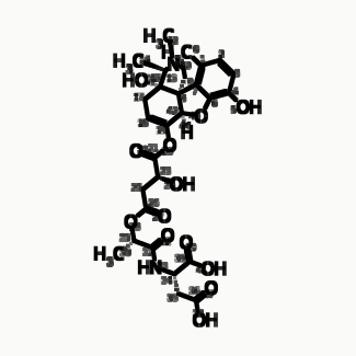 Cc1ccc(O)c2c1[C@]13CCN(C)[C@H](C)[C@]1(O)CC=C(OC(=O)[C@@H](O)CC(=O)O[C@@H](C)C(=O)N[C@@H](CC(=O)O)C(=O)O)[C@@H]3O2